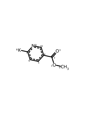 COC(=O)c1cc[c]([K])nc1